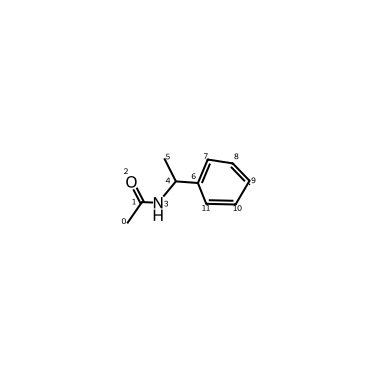 CC(=O)NC(C)c1cc[c]cc1